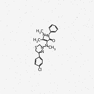 Cc1c(N(C)N2CSCC(c3ccc(Cl)cc3)=N2)c(=O)n(-c2ccccc2)n1C